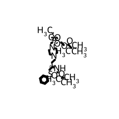 CCOP(=O)(CN1CCN(CC[C@H](CSc2ccccc2)NC(=O)OC(C)(C)C)CC1)OCOC(=O)C(C)(C)C